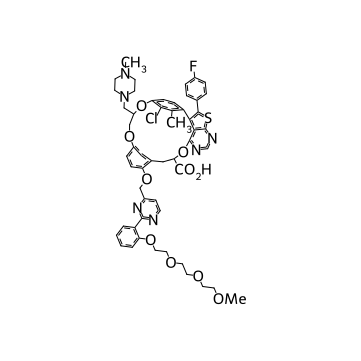 COCCOCCOCCOc1ccccc1-c1nccc(COc2ccc3cc2CC(C(=O)O)Oc2ncnc4sc(-c5ccc(F)cc5)c(c24)-c2ccc(c(Cl)c2C)OC(CN2CCN(C)CC2)CO3)n1